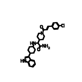 NC(=O)C(NC1CCC(c2c[nH]c3ccccc23)CC1)C1CCN(C(=O)C=Cc2ccc(Cl)cc2)CC1